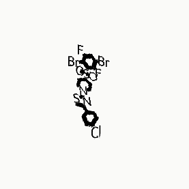 O=S(=O)(c1c(F)c(Br)cc(F)c1Br)C1CCN(c2nc(-c3ccc(Cl)cc3)cs2)CC1